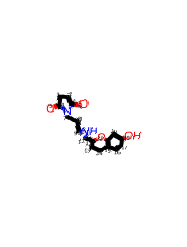 O=C1CCC(=O)N1CCCNCC1CCc2ccc(O)cc2O1